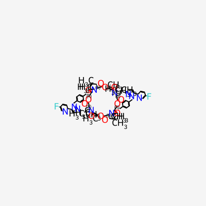 CC(C)C[C@H]1C(=O)O[C@H](Cc2ccc(Cn3nccc3-c3ccc(F)cn3)cc2)C(=O)N(C)[C@@H](CC(C)C)C(=O)O[C@H](C)C(=O)N(C)[C@@H](CC(C)C)C(=O)O[C@H](Cc2ccc(Cn3nccc3-c3ccc(F)cn3)cc2)C(=O)N(C)[C@@H](CC(C)C)C(=O)O[C@H](C)C(=O)N1C